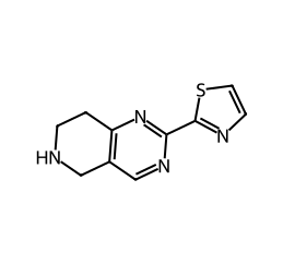 c1csc(-c2ncc3c(n2)CCNC3)n1